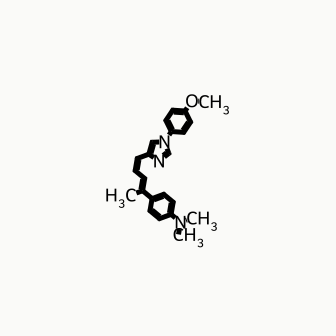 COc1ccc(-n2cnc(/C=C\C=C(/C)c3ccc(N(C)C)cc3)c2)cc1